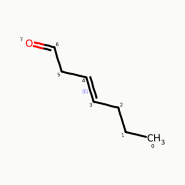 CCC/C=C/CC=O